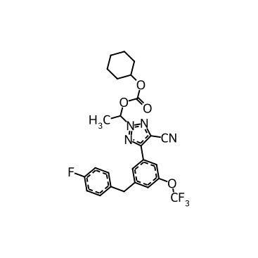 CC(OC(=O)OC1CCCCC1)n1nc(C#N)c(-c2cc(Cc3ccc(F)cc3)cc(OC(F)(F)F)c2)n1